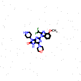 COc1cccc2c1nc(C(F)F)n2-c1nc(N2CCOCC2)c2[nH]c(=O)n(C3CCNCC3)c2n1